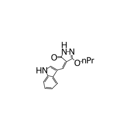 CCCOC1=NNC(=O)/C1=C\c1c[nH]c2ccccc12